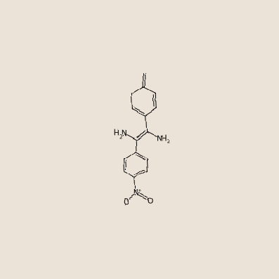 C=C1C=CC(C(N)=C(N)c2ccc([N+](=O)[O-])cc2)=CC1